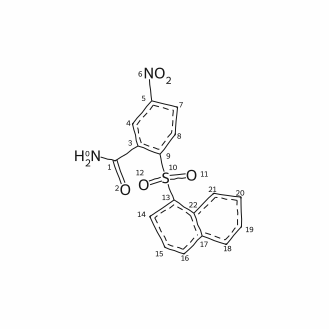 NC(=O)c1cc([N+](=O)[O-])ccc1S(=O)(=O)c1cccc2ccccc12